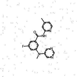 Cc1ccnc(NC(=O)c2cc(F)cc(N(C)c3cncnc3)c2)c1